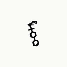 CC(C)(C1C=CC(C2C=CC=CC2)CC1)C1C[C@H]1C=O